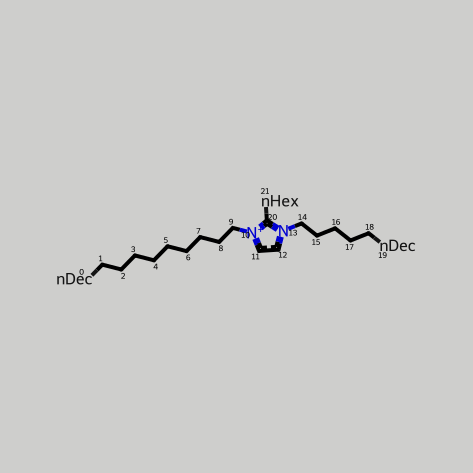 CCCCCCCCCCCCCCCCCCC[n+]1ccn(CCCCCCCCCCCCCCC)c1CCCCCC